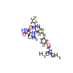 CC1=C(Nc2nc(-c3cccs3)nc3sc(Cc4cccc(OCCN(C)C)c4)cc23)C(=O)NC1=O